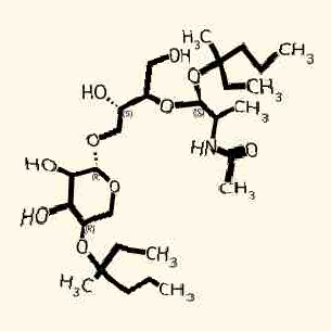 CCCC(C)(CC)O[C@H](OC(CO)[C@@H](O)CO[C@@H]1OC[C@@H](OC(C)(CC)CCC)C(O)C1O)C(C)NC(C)=O